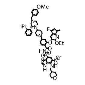 C=C1C=C(F)c2cc(Oc3cc(N4CCC(N5CCN(Cc6ccc(OC)cc6)C[C@H]5c5ccccc5C(C)C)CC4)ccc3C(=O)NS(=O)(=O)c3cc([NH+](C)[O-])c(NCC4CCOCC4)c4[nH]cnc34)c(OCC)nc21